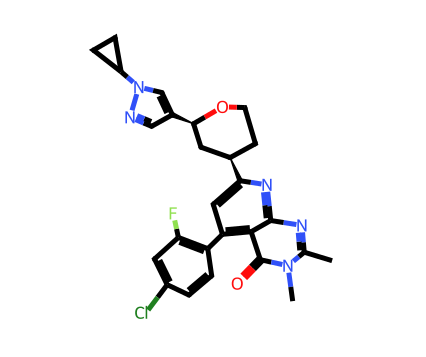 Cc1nc2nc([C@@H]3CCO[C@H](c4cnn(C5CC5)c4)C3)cc(-c3ccc(Cl)cc3F)c2c(=O)n1C